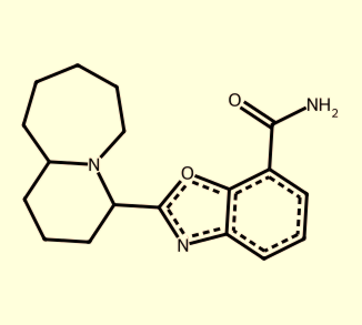 NC(=O)c1cccc2nc(C3CCCC4CCCCCN43)oc12